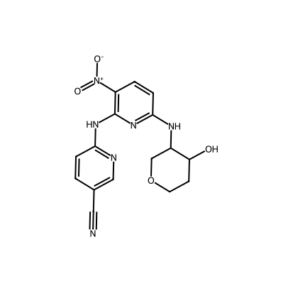 N#Cc1ccc(Nc2nc(NC3COCCC3O)ccc2[N+](=O)[O-])nc1